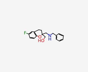 OCC1(CNCc2ccccc2)CCc2cc(F)ccc2O1